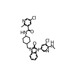 CNc1ncc(-n2c(=O)n(CC3CCC(NC(=O)c4cc(Cl)cnc4C)CC3)c3ccccc32)cc1Cl